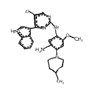 COc1cc(N2CCC(C)CC2)c(N)cc1Nc1ncc(Cl)c(-c2c[nH]c3ccccc23)n1